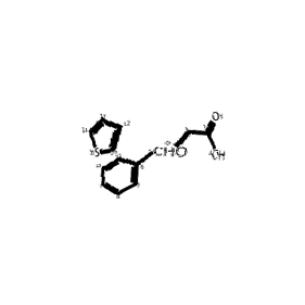 CCC(=O)O.O=Cc1ccccc1.c1ccsc1